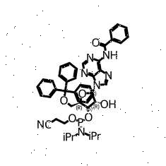 CC(C)N(C(C)C)P(OCCC#N)O[C@H]1[C@@H](O)[C@H](n2cnc3c(NC(=O)c4ccccc4)ncnc32)O[C@@H]1COC(c1ccccc1)(c1ccccc1)c1ccccc1